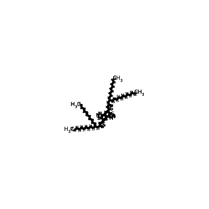 CCCCCCCCCCCCC(CCCCCCCCCC)Cc1csc(-c2cc3c(cc(-c4cc(CC(CCCCCCCCCC)CCCCCCCCCCCC)cs4)c4snnc43)c3nnsc23)c1